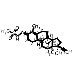 C#C[C@]1(O)CC[C@H]2[C@@H]3CCC4=C(C)/C(=N/NS(C)(=O)=O)CC[C@]4(C)[C@H]3CC[C@@]21C